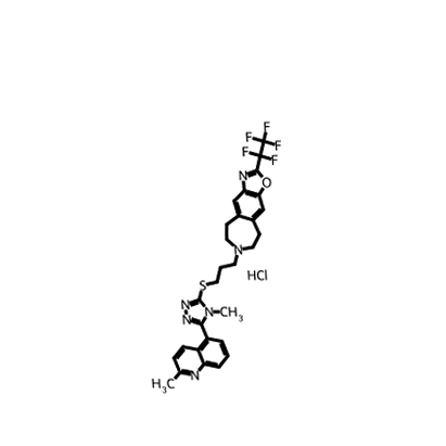 Cc1ccc2c(-c3nnc(SCCCN4CCc5cc6nc(C(F)(F)C(F)(F)F)oc6cc5CC4)n3C)cccc2n1.Cl